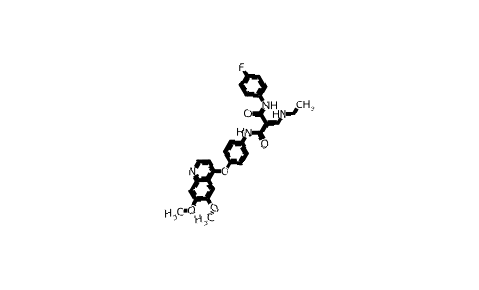 CCN/C=C(\C(=O)Nc1ccc(F)cc1)C(=O)Nc1ccc(Oc2ccnc3cc(OC)c(OC)cc23)cc1